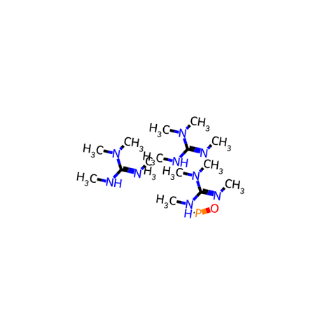 CN=C(NC)N(C)C.CN=C(NC)N(C)C.CN=C(NC)N(C)C.O=[P]